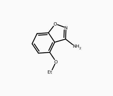 CCOc1cccc2onc(N)c12